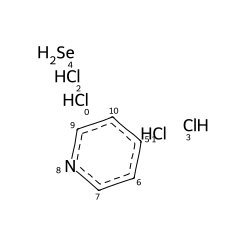 Cl.Cl.Cl.Cl.[SeH2].c1ccncc1